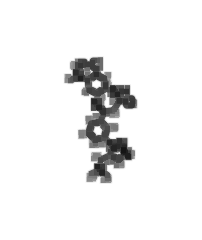 CC(C)N(C)c1cc2c(cc1Cl)NC(=O)CC(c1cccc(-n3nncc3CN(C)C)c1)=N2